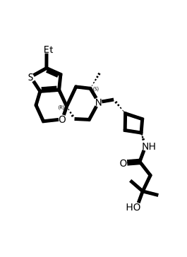 CCc1cc2c(s1)CCO[C@@]21CCN(C[C@H]2C[C@@H](NC(=O)CC(C)(C)O)C2)[C@@H](C)C1